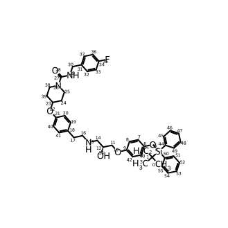 CC(C)(C)[Si](Oc1ccc(OC[C@@H](O)CNCCc2ccc(OC3CCN(C(=O)NCc4ccc(F)cc4)CC3)cc2)cc1)(c1ccccc1)c1ccccc1